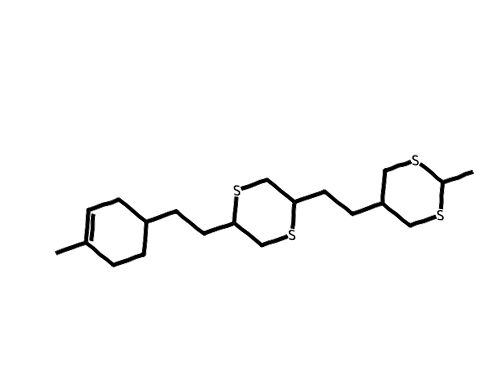 CC1=CCC(CCC2CSC(CCC3CSC(C)SC3)CS2)CC1